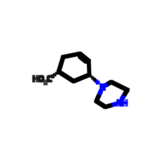 O=C(O)[C@@H]1CC=C[C@H](N2CCNCC2)C1